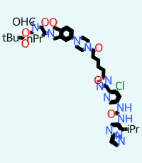 CCCC(C(=O)N(C=O)COC(=O)C(C)(C)C)N1Cc2cc(N3CCN(C(=O)CCCCc4nc(-c5ncc(NC(=O)Nc6cnc7ccnn7c6C(C)C)cc5Cl)no4)CC3)ccc2C1=O